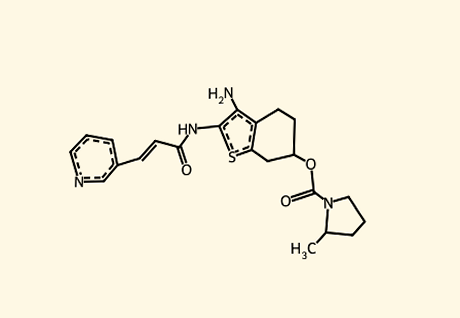 CC1CCCN1C(=O)OC1CCc2c(sc(NC(=O)/C=C/c3cccnc3)c2N)C1